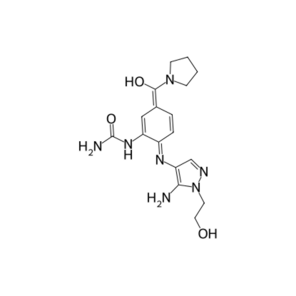 NC(=O)NC1=CC(=C(O)N2CCCC2)C=CC1=Nc1cnn(CCO)c1N